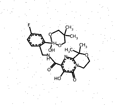 CC1(C)CO[PH](O)(c2cc(F)ccc2CNC(=O)c2nc3n(c(=O)c2O)CCOC3(C)C)OC1